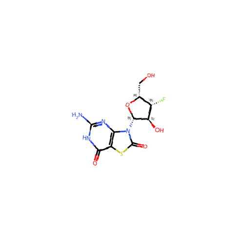 Nc1nc2c(sc(=O)n2[C@@H]2O[C@H](CO)[C@H](F)[C@H]2O)c(=O)[nH]1